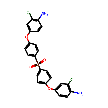 Nc1ccc(Oc2ccc(S(=O)(=O)c3ccc(Oc4ccc(N)c(Cl)c4)cc3)cc2)cc1Cl